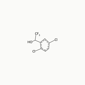 OC(c1cc(Cl)ccc1Cl)C(F)(F)F